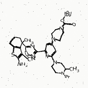 CC(C)N1CCN(c2cc(N3CCN(C(=O)OC(C)(C)C)CC3)cc(-c3noc(C4(C)CCCc5sc(N)c(C#N)c54)n3)n2)CC1C